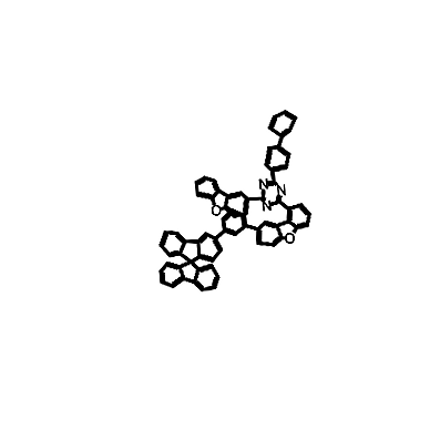 c1ccc(-c2ccc(-c3nc(-c4ccc5oc6ccccc6c5c4)nc(-c4cccc5oc6ccc(-c7cccc(-c8ccc9c(c8)-c8ccccc8C98c9ccccc9-c9ccccc98)c7)cc6c45)n3)cc2)cc1